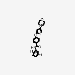 O=C(N[C@@H]1C[C@H]2CC[C@@H]1N2)c1ccc(Oc2cc(N3CCOCC3)cs2)cc1